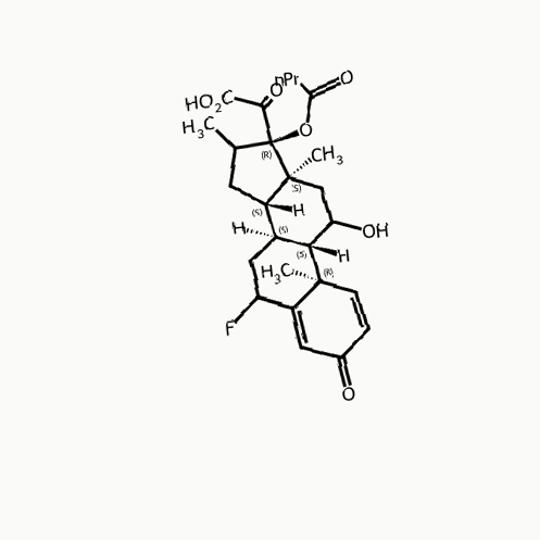 CCCC(=O)O[C@]1(C(=O)C(=O)O)C(C)C[C@H]2[C@@H]3CC(F)C4=CC(=O)C=C[C@]4(C)[C@H]3C(O)C[C@@]21C